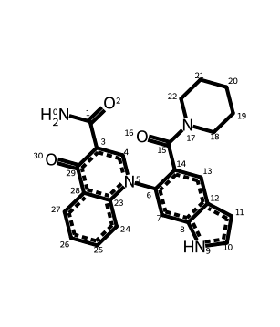 NC(=O)c1cn(-c2cc3[nH]ccc3cc2C(=O)N2CCCCC2)c2ccccc2c1=O